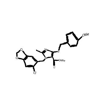 COC(=O)c1c(SCc2ccc(OC)cc2)nc(C)n1Cc1cc2c(cc1Cl)OCO2